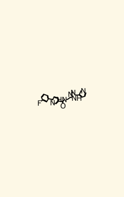 O=C(NCc1nnc(-c2cccnc2)[nH]1)c1ccc(-c2cccc(F)c2)nc1